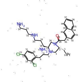 CC(C)C[C@@H]1CN(C[C@@H](N)Cc2ccc(Cl)cc2Cl)[C@@H](CCCNCCCN)CN1C(=O)Cc1ccc2ccccc2c1